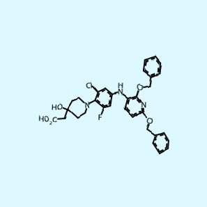 O=C(O)CC1(O)CCN(c2c(F)cc(Nc3ccc(OCc4ccccc4)nc3OCc3ccccc3)cc2Cl)CC1